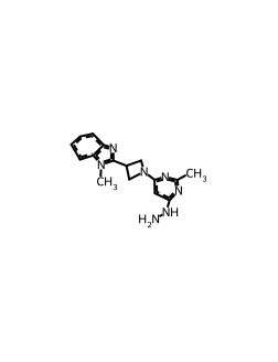 Cc1nc(NN)cc(N2CC(c3nc4ccccc4n3C)C2)n1